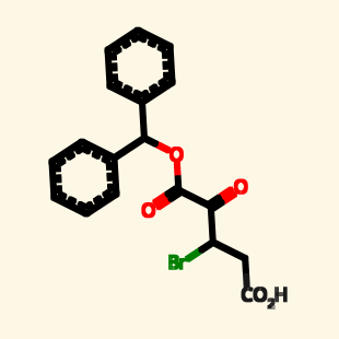 O=C(O)CC(Br)C(=O)C(=O)OC(c1ccccc1)c1ccccc1